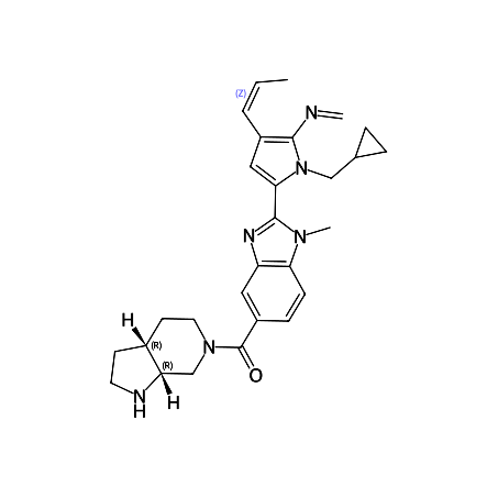 C=Nc1c(/C=C\C)cc(-c2nc3cc(C(=O)N4CC[C@H]5CCN[C@H]5C4)ccc3n2C)n1CC1CC1